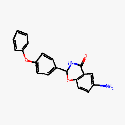 Nc1ccc2c(c1)C(=O)NC(c1ccc(Oc3ccccc3)cc1)O2